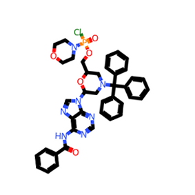 O=C(Nc1ncnc2c1ncn2C1CN(C(c2ccccc2)(c2ccccc2)c2ccccc2)CC(COP(=O)(Cl)N2CCOCC2)O1)c1ccccc1